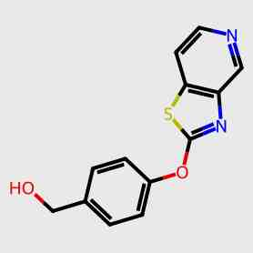 OCc1ccc(Oc2nc3cnccc3s2)cc1